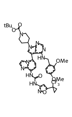 COc1ccc(CNc2ncnc3c2c(-c2ccc(NC(=O)Nc4cc(C5(C(F)(F)F)CC5)on4)c4nccn24)cn3C2CCN(C(=O)OC(C)(C)C)CC2)c(OC)c1